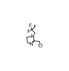 FC(F)(F)CN1CCN=C1CCl